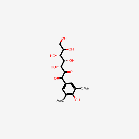 COc1cc(C(=O)C(=O)[C@H](O)[C@@H](O)[C@H](O)[C@H](O)CO)cc(OC)c1O